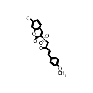 COc1ccc(C=CC(=O)CS(=O)(=O)c2cc3ccc(Cl)cc3oc2=O)cc1